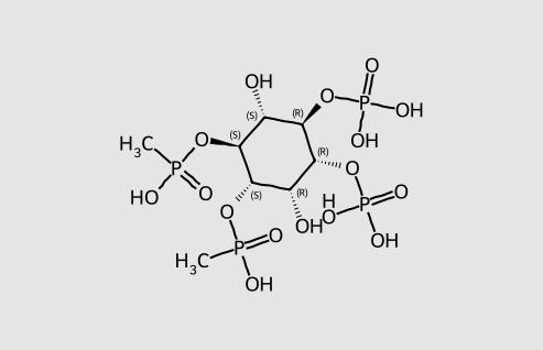 CP(=O)(O)O[C@H]1[C@H](O)[C@@H](OP(=O)(O)O)[C@H](OP(=O)(O)O)[C@H](O)[C@@H]1OP(C)(=O)O